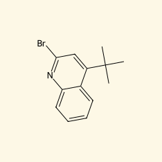 CC(C)(C)c1cc(Br)nc2ccccc12